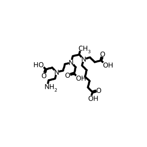 CC(CN(CCN(CCN)CC(=O)O)CC(=O)O)N(CCCCCC(=O)O)CCC(=O)O